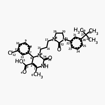 CC1=C(C(=O)O)C(c2cccc(Cl)c2)N(CCCN2CCN(c3cccc(C(C)(C)C)c3)C2=O)C(=O)N1